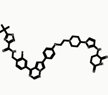 CC(C)(C)c1nc(C(=O)NCc2ccc(-c3ncnn4cc(-c5ccc(OCCN6CCC(n7ccc(NC8CCC(=O)NC8=O)n7)CC6)cc5)cc34)cc2F)no1